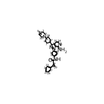 CN1CCN(C2CCC(c3nn(-c4ccc(NC(=O)C5CC5c5ccccc5)cc4)c4c(N)nccc34)CC2)CC1